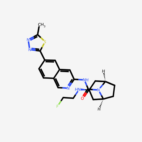 Cc1nnc(-c2ccc3cnc(NC(=O)N4[C@@H]5CC[C@H]4C[C@@H](NCCF)C5)cc3c2)s1